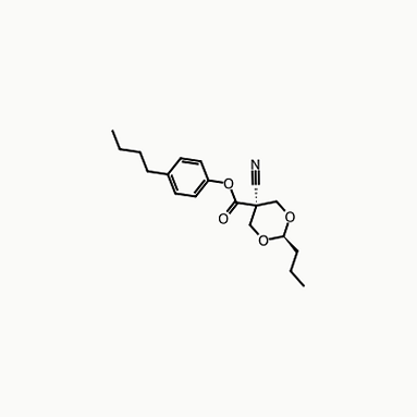 CCCCc1ccc(OC(=O)[C@]2(C#N)CO[C@H](CCC)OC2)cc1